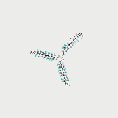 FC(F)(F)C(F)(F)C(F)(F)C(F)(F)C(F)(F)C(F)(F)C(F)(F)C(F)(F)CCP(CCC(F)(F)C(F)(F)C(F)(F)C(F)(F)C(F)(F)C(F)(F)C(F)(F)C(F)(F)F)CCC(F)(F)C(F)(F)C(F)(F)C(F)(F)C(F)(F)C(F)(F)C(F)(F)C(F)(F)F